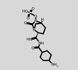 N=C(NC(=O)C1CCC(N)CC1)[C@@H]1CC[C@@H]2CN1C(=O)N2OS(=O)(=O)O